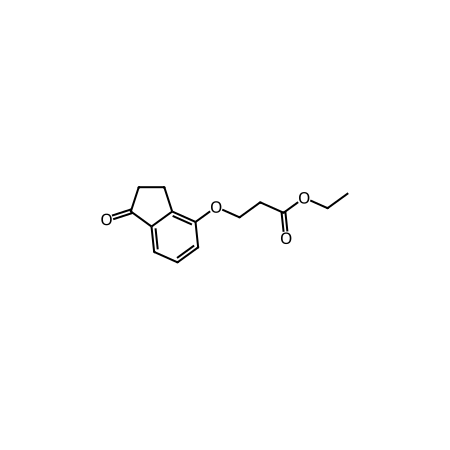 CCOC(=O)CCOc1cccc2c1CCC2=O